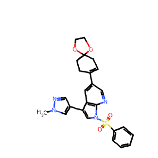 Cn1cc(-c2cn(S(=O)(=O)c3ccccc3)c3ncc(C4=CCC5(CC4)OCCO5)cc23)cn1